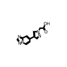 O=C(O)Cn1cc(-c2ccn3ncnc3c2)cn1